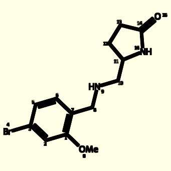 COc1cc(Br)ccc1CNCC1CCC(=O)N1